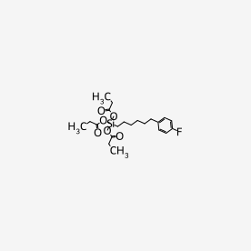 CCC(=O)O[Si](CCCCCCc1ccc(F)cc1)(OC(=O)CC)OC(=O)CC